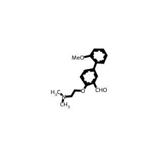 COc1ccccc1-c1ccc(OCCN(C)C)c(C=O)c1